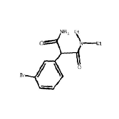 CCN(CC)C(=O)C(C(N)=O)c1cccc(Br)c1